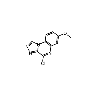 COc1ccc2c(c1)nc(Cl)c1nncn12